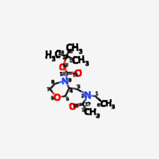 CCN(CC1COCCN1C(=O)OC(C)(C)C)C(C)=O